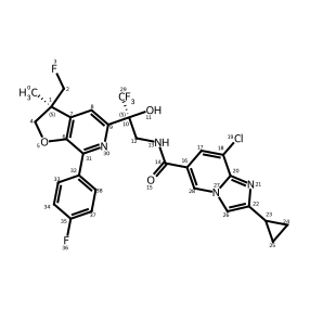 C[C@@]1(CF)COc2c1cc([C@@](O)(CNC(=O)c1cc(Cl)c3nc(C4CC4)cn3c1)C(F)(F)F)nc2-c1ccc(F)cc1